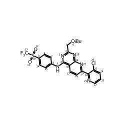 CC(C)COCc1nc(Nc2ccc(S(=O)(=O)C(F)(F)F)cc2)c2ccc(-c3ncccc3Cl)nc2n1